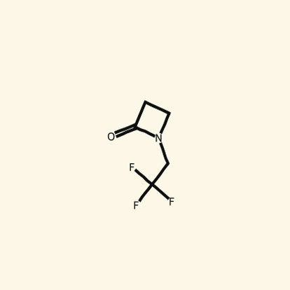 O=C1CCN1CC(F)(F)F